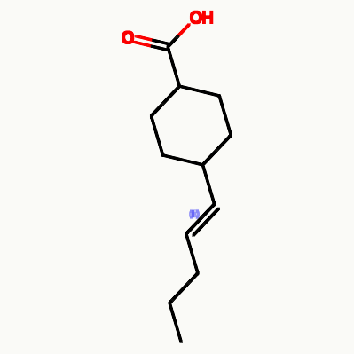 CCC/C=C/C1CCC(C(=O)O)CC1